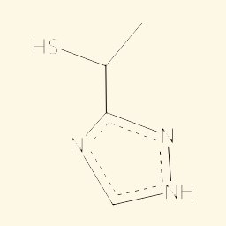 [CH2]C(S)c1nc[nH]n1